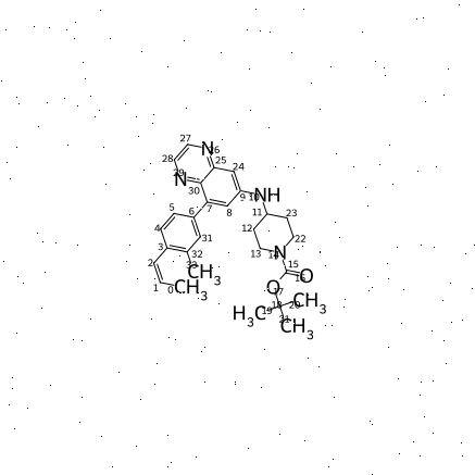 C/C=C\c1ccc(-c2cc(NC3CCN(C(=O)OC(C)(C)C)CC3)cc3nccnc23)cc1C